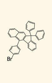 Brc1ccc(-c2c3c(cc4ccccc24)C(c2ccccc2)(c2ccccc2)c2ccccc2-3)cc1